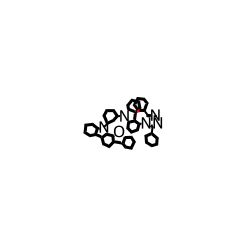 c1ccc(-c2nnc(-c3ccccc3)n2-c2cccc3c2c2ccccc2n3-c2cccc(-n3c4ccccc4c4ccc5c6ccccc6oc5c43)c2)cc1